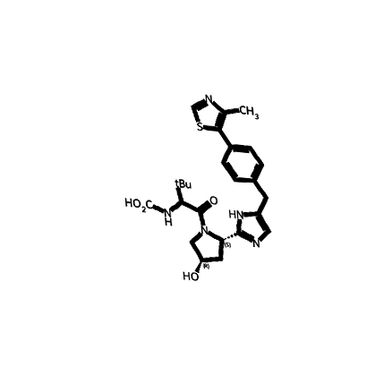 Cc1ncsc1-c1ccc(Cc2cnc([C@@H]3C[C@@H](O)CN3C(=O)C(NC(=O)O)C(C)(C)C)[nH]2)cc1